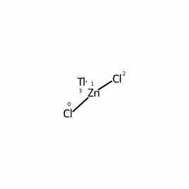 [Cl][Zn][Cl].[Tl]